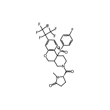 CN1C(=O)CC[C@@H]1C(=O)N1CCC2(S(=O)(=O)c3ccc(F)cc3)c3ccc(C(F)(C(F)(F)F)C(F)(F)F)cc3OCC2C1